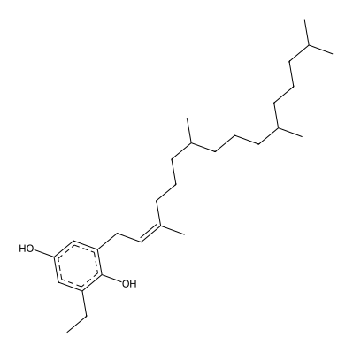 CCc1cc(O)cc(CC=C(C)CCCC(C)CCCC(C)CCCC(C)C)c1O